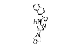 O=C(Nc1ncc(N2CCOCC2)s1)c1ccc2ccccc2c1